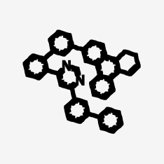 C1=Cc2c(c3ccc(-c4cccc(-c5ccccc5-c5cc(-c6cccc(-c7ccccc7)c6)ncn5)c4)cc3c3ccccc23)CC1